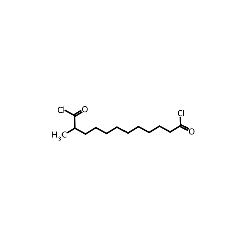 CC(CCCCCCCCCC(=O)Cl)C(=O)Cl